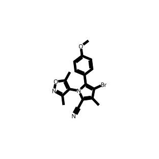 COc1ccc(-c2c(Br)c(C)c(C#N)n2-c2c(C)noc2C)cc1